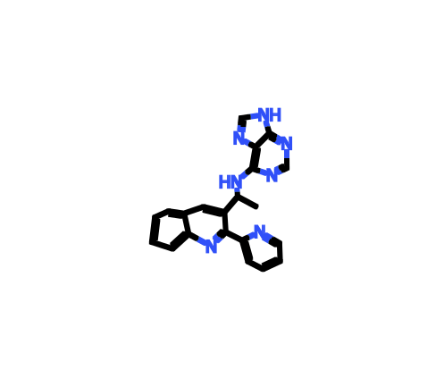 CC(Nc1ncnc2[nH]cnc12)c1cc2ccccc2nc1-c1ccccn1